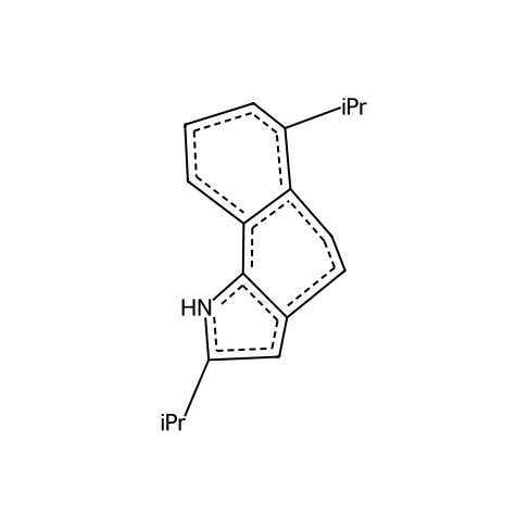 CC(C)c1cc2ccc3c(C(C)C)cccc3c2[nH]1